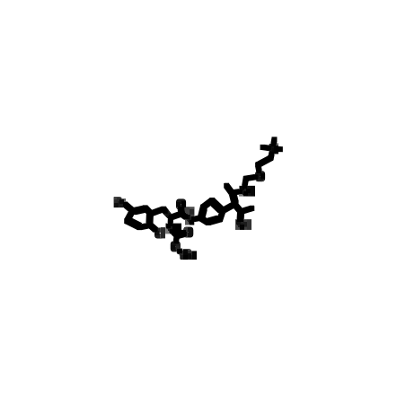 CC(=N)/C(=C(/C)NCOCC[Si](C)(C)C)c1ccc(NC(=O)[C@H](Cc2cc(Br)ccc2Cl)NC(=O)OC(C)(C)C)cc1